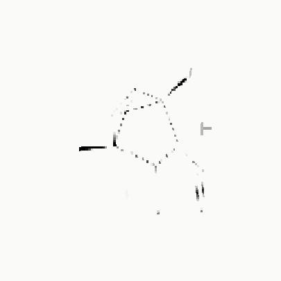 C1=C[C@H]2[C@@H](C1)[C@@H]1C=C[C@H]2C1